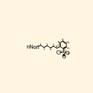 CCCCCCCCCCCCCCCc1ccccc1S(=O)(=O)Cl